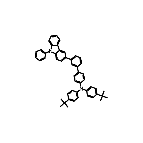 CC(C)(C)c1ccc(N(c2ccc(-c3cccc(-c4ccc5c(c4)c4ccccc4n5-c4ccccc4)c3)cc2)c2ccc(C(C)(C)C)cc2)cc1